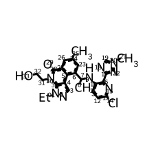 CCn1ncc2c3c(C(C)Nc4ccc(Cl)nc4-c4ncn(C)n4)cc(C)cc3c(=O)n(CCO)c21